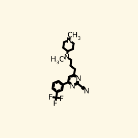 CN1CCC(N(C)CCCc2cc(-c3cccc(C(F)(F)F)c3)nc(C#N)n2)CC1